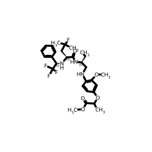 CC[C@@H](CNc1ccc(OC(C)C(=O)OC)cc1OC)NC(=O)[C@H](CC(C)(C)F)N[C@@H](c1ccccc1)C(F)(F)F